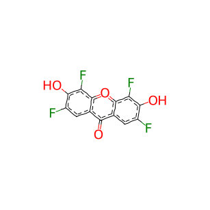 O=c1c2cc(F)c(O)c(F)c2oc2c(F)c(O)c(F)cc12